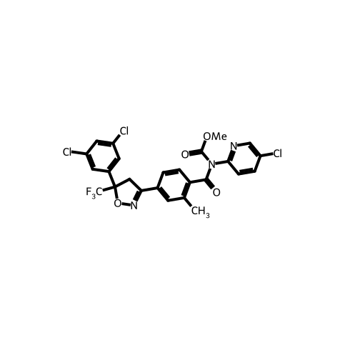 COC(=O)N(C(=O)c1ccc(C2=NOC(c3cc(Cl)cc(Cl)c3)(C(F)(F)F)C2)cc1C)c1ccc(Cl)cn1